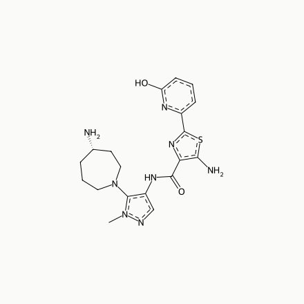 Cn1ncc(NC(=O)c2nc(-c3cccc(O)n3)sc2N)c1N1CCC[C@H](N)CC1